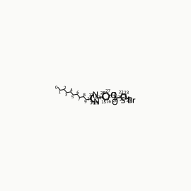 CCCCCCCCCCc1cnc(-c2ccc(OC(=O)c3ccc(Br)s3)cc2)nc1